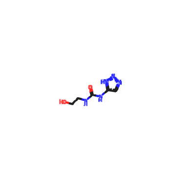 O=C(NCCO)Nc1cnn[nH]1